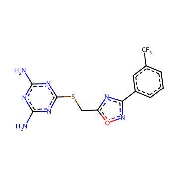 Nc1nc(N)nc(SCc2nc(-c3cccc(C(F)(F)F)c3)no2)n1